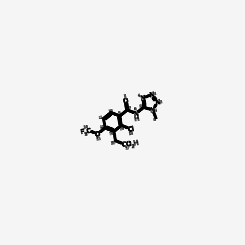 Cn1nnnc1NC(=O)c1ccc(OC(F)(F)F)c(CC(=O)O)c1Cl